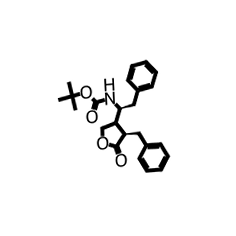 CC(C)(C)OC(=O)N[C@@H](Cc1ccccc1)C1COC(=O)[C@@H]1Cc1ccccc1